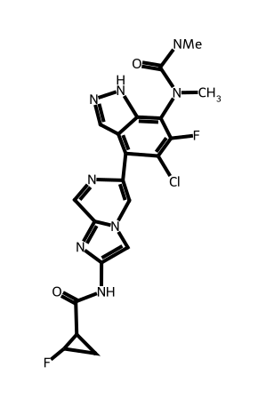 CNC(=O)N(C)c1c(F)c(Cl)c(-c2cn3cc(NC(=O)C4CC4F)nc3cn2)c2cn[nH]c12